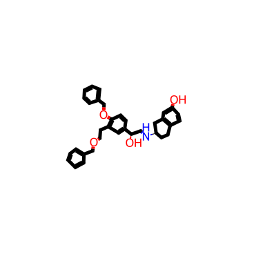 Oc1ccc2c(c1)C[C@@H](NC[C@H](O)c1ccc(OCc3ccccc3)c(CCOCc3ccccc3)c1)CC2